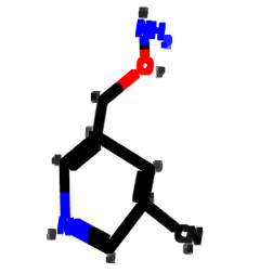 N#Cc1cncc(CON)c1